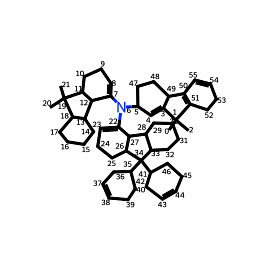 CC1(C)C2=CC(N(C3=CCCC4C3C3CCCCC3C4(C)C)C3=CCCC4C3C3CCCCC3C4(C3CC=CCC3)C3CC=CCC3)CCC2C2=C1CCC=C2